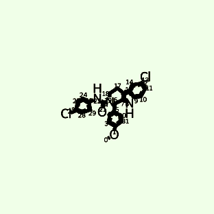 COc1ccc(C2c3[nH]c4ccc(Cl)cc4c3CCN2C(=O)Nc2ccc(Cl)cc2)cc1